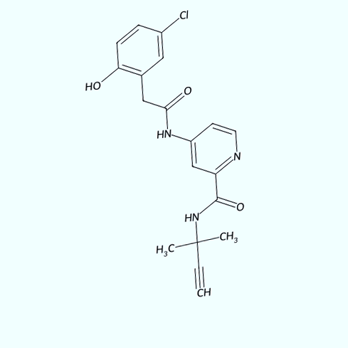 C#CC(C)(C)NC(=O)c1cc(NC(=O)Cc2cc(Cl)ccc2O)ccn1